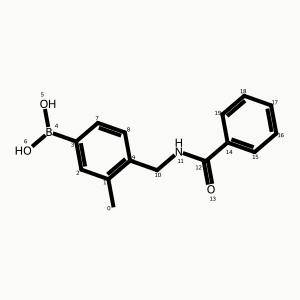 Cc1cc(B(O)O)ccc1CNC(=O)c1ccccc1